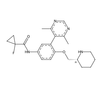 Cc1ncnc(C)c1-c1cc(NC(=O)C2(F)CC2)ccc1OC[C@H]1CCCCN1